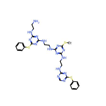 CCSc1nc(NCCNc2ncnc(Sc3ccccc3)n2)nc(NCCNc2nc(NCCN)nc(Sc3ccccc3)n2)n1